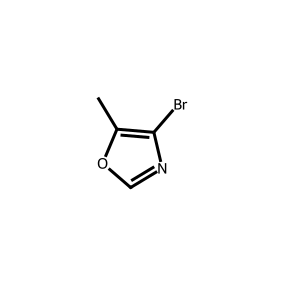 Cc1ocnc1Br